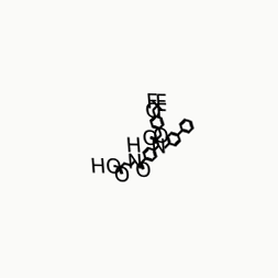 O=C(O)CCNC(=O)c1ccc(N(Cc2ccc(-c3ccccc3)cc2)C(=O)Oc2ccc(OC(F)(F)F)cc2)cc1